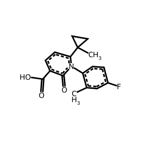 Cc1cc(F)ccc1-n1c(C2(C)CC2)ccc(C(=O)O)c1=O